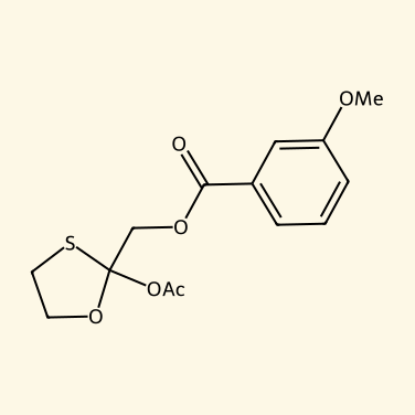 COc1cccc(C(=O)OCC2(OC(C)=O)OCCS2)c1